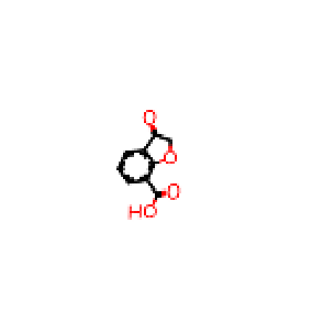 O=C(O)c1cccc2c1OCC2=O